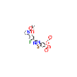 COCCOc1cc2c(cc1C(=O)OC)sc1nc(-c3ccc(C4CCCN4C(=O)OC(C)(C)C)cc3F)cn12